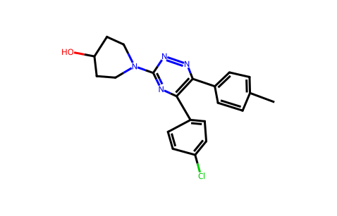 Cc1ccc(-c2nnc(N3CCC(O)CC3)nc2-c2ccc(Cl)cc2)cc1